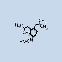 CC(C)Cc1ccc(N=C=N)cc1CC(C)C